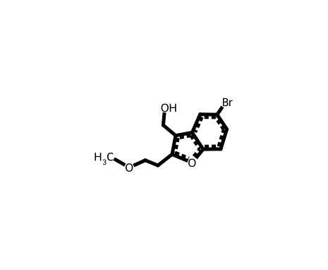 COCCc1oc2ccc(Br)cc2c1CO